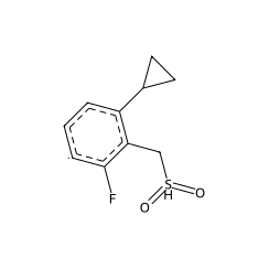 O=[SH](=O)Cc1c(F)[c]ccc1C1CC1